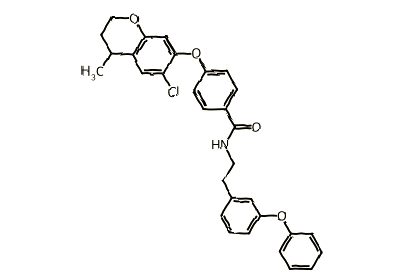 CC1CCOc2cc(Oc3ccc(C(=O)NCCc4cccc(Oc5ccccc5)c4)cc3)c(Cl)cc21